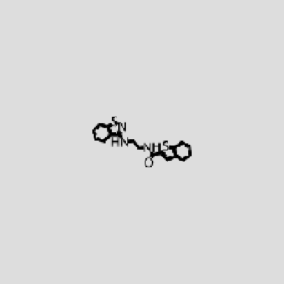 O=C(NCCNc1nsc2ccccc12)c1cc2ccccc2s1